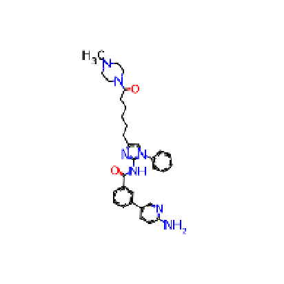 CN1CCN(C(=O)CCCCCc2cn(-c3ccccc3)c(NC(=O)c3cccc(-c4ccc(N)nc4)c3)n2)CC1